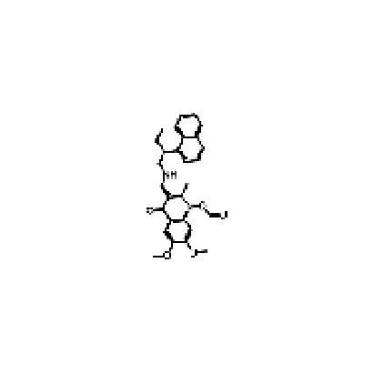 CCC(CNC=C1C(=O)c2cc(OC)c(OC)cc2N(OC=O)C1C)c1cccc2ccccc12